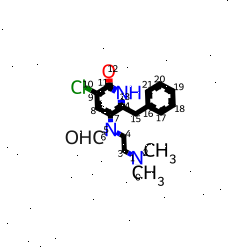 CN(C)CCN(C=O)c1cc(Cl)c(=O)[nH]c1Cc1ccccc1